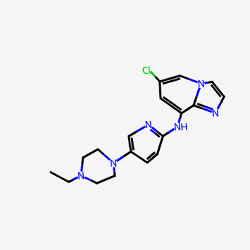 CCN1CCN(c2ccc(Nc3cc(Cl)cn4ccnc34)nc2)CC1